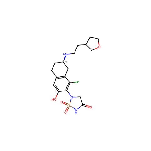 O=C1CN(c2c(O)cc3c(c2F)C[C@H](NCCC2CCOC2)CC3)S(=O)(=O)N1